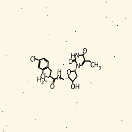 CCc1cn([C@@H]2CC(O)[C@H](CNC(=O)[C@@H](C)Cc3ccc(Cl)cc3Cl)O2)c(=O)[nH]c1=O